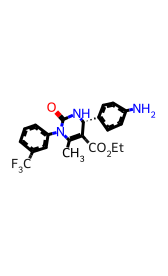 CCOC(=O)C1=C(C)N(c2cccc(C(F)(F)F)c2)C(=O)N[C@@H]1c1ccc(N)cc1